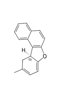 CC1=CC=C2Oc3ccc4ccccc4c3[C@@H]2C1